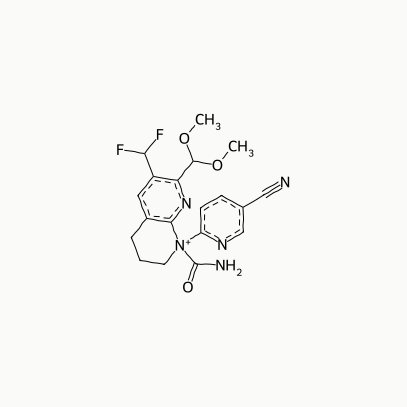 COC(OC)c1nc2c(cc1C(F)F)CCC[N+]2(C(N)=O)c1ccc(C#N)cn1